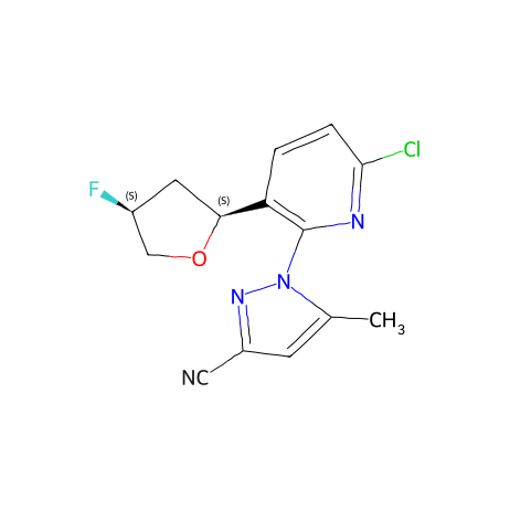 Cc1cc(C#N)nn1-c1nc(Cl)ccc1[C@@H]1C[C@H](F)CO1